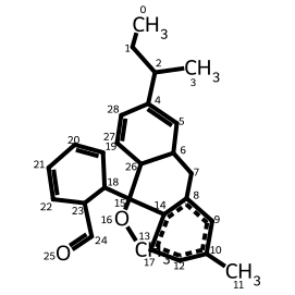 CCC(C)C1=CC2Cc3cc(C)ccc3C(OC)(C3C=CC=CC3C=O)C2C=C1